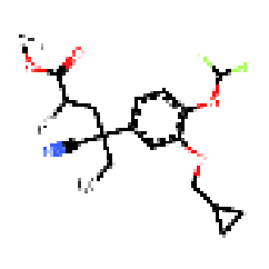 CCC(C#N)(CC(C)C(=O)OC)c1ccc(OC(F)F)c(OCC2CC2)c1